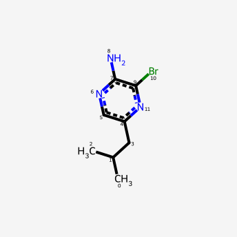 CC(C)Cc1cnc(N)c(Br)n1